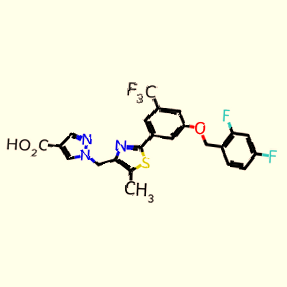 Cc1sc(-c2cc(OCc3ccc(F)cc3F)cc(C(F)(F)F)c2)nc1Cn1cc(C(=O)O)cn1